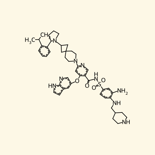 CC(C)c1ccccc1C1CCCN1C1CC2(CCN(c3cc(Oc4cnc5[nH]ccc5c4)c(C(=O)NS(=O)(=O)c4ccc(NCC5CCNCC5)c(N)c4)cn3)CC2)C1